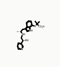 C[C@H](Cc1c[nH]c2c(OC(C)(C)C(=O)O)cccc12)NC[C@H](O)c1cccnc1